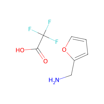 NCc1ccco1.O=C(O)C(F)(F)F